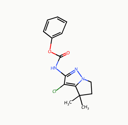 CC1(C)CCn2nc(NC(=O)Oc3ccccc3)c(Cl)c21